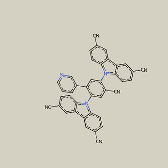 N#Cc1ccc2c(c1)c1cc(C#N)ccc1n2-c1cc(-c2cccnc2)c(-n2c3ccc(C#N)cc3c3cc(C#N)ccc32)cc1C#N